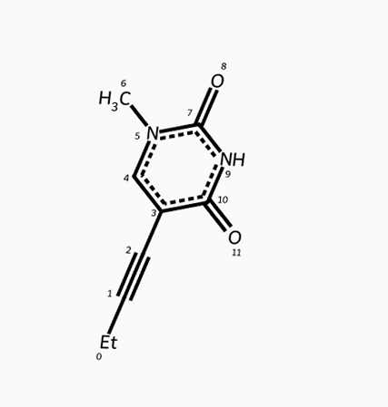 CCC#Cc1cn(C)c(=O)[nH]c1=O